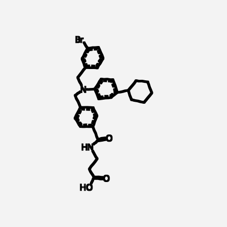 O=C(O)CCNC(=O)c1ccc(CN(Cc2cccc(Br)c2)c2ccc(C3CCCCC3)cc2)cc1